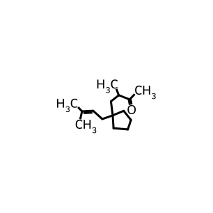 CC(=O)C(C)CC1(CC=C(C)C)CCCC1